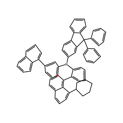 c1ccc(C2(c3ccccc3)c3ccccc3-c3ccc(N(c4cccc(-c5cccc6ccccc56)c4)c4ccccc4-c4cccc5cccc(C6CCCCC6)c45)cc32)cc1